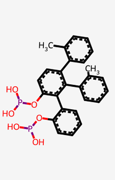 Cc1ccccc1-c1ccc(OP(O)O)c(-c2ccccc2OP(O)O)c1-c1ccccc1C